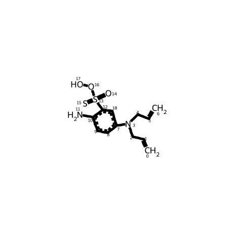 C=CCN(CC=C)c1ccc(N)c(S(=O)(=S)OO)c1